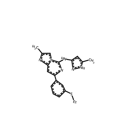 CCSc1cccc(-c2cc3nc(C)cn3c(Nc3cc(C)[nH]n3)n2)c1